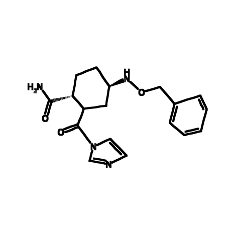 NC(=O)[C@@H]1CC[C@@H](NOCc2ccccc2)CC1C(=O)n1ccnc1